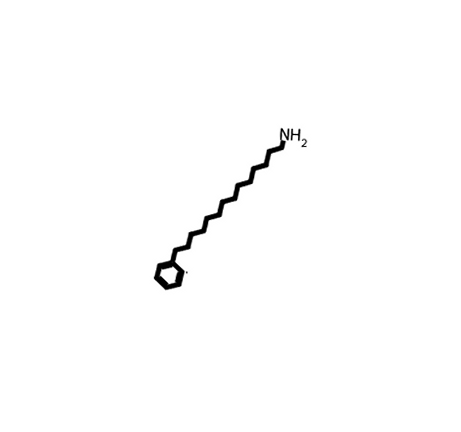 NCCCCCCCCCCCCCCc1[c]cccc1